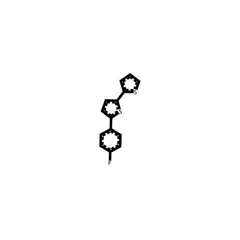 Fc1ccc(-c2ccc(-c3cccs3)s2)cc1